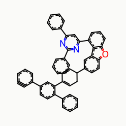 c1cccc(-c2ccc(-c3ccccc3)c(C3=CCC(c4ccc5oc6cccc(-c7cc(-c8ccccc8)nc(-c8ccccc8)n7)c6c5c4)C=C3)c2)c#1